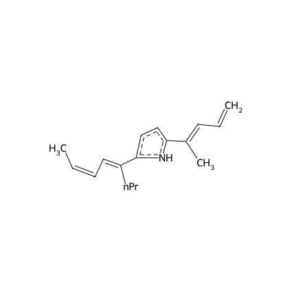 C=C/C=C(\C)c1ccc(/C(=C/C=C\C)CCC)[nH]1